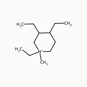 CCC1CC[N+](C)(CC)CC1CC